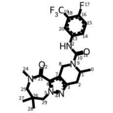 CC1Cc2nn3c(c2CN1C(=O)Nc1ccc(F)c(C(F)(F)F)c1)C(=O)N(C)CC(C)(C)C3